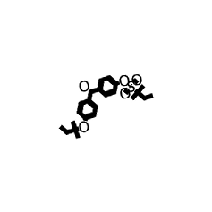 CCC(C)(C)Oc1ccc(C(=O)c2ccc(OS(=O)(=O)C(C)(C)CC)cc2)cc1